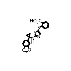 O=C(O)c1ccccc1Sc1cnc(NC2(c3ccc4c(c3)OCO4)CC2)s1